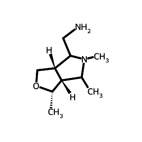 CC1[C@@H]2[C@H](C)OC[C@@H]2C(CN)N1C